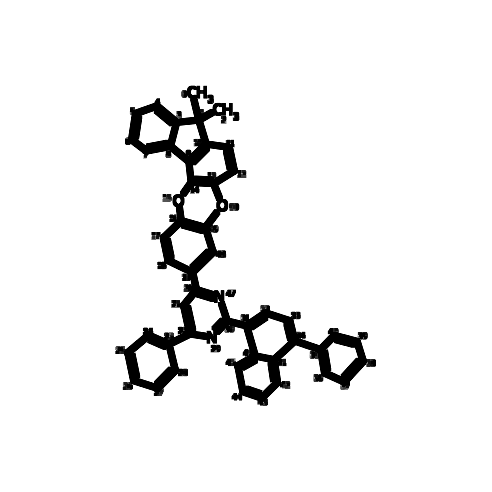 CC1(C)c2ccccc2-c2c1ccc1c2Oc2ccc(-c3cc(-c4ccccc4)nc(-c4ccc(-c5ccccc5)c5ccccc45)n3)cc2O1